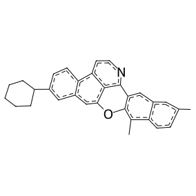 Cc1ccc2c(C)c3c(cc2c1)-c1nccc2c1c(cc1cc(C4CCCCC4)ccc12)O3